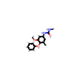 CNC(=O)Nc1cc(C)c(Oc2ccccc2)c(OC)c1